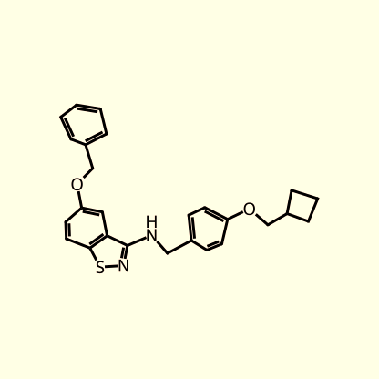 c1ccc(COc2ccc3snc(NCc4ccc(OCC5CCC5)cc4)c3c2)cc1